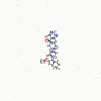 CCOC1Cc2cc(C)ccc2[C@H]1N1CCN(C2(C)CCN(C(=O)c3c(C)ncnc3C)CC2)C[C@@H]1C